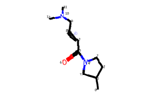 CC1CCN(C(=O)/C=C/CN(C)C)C1